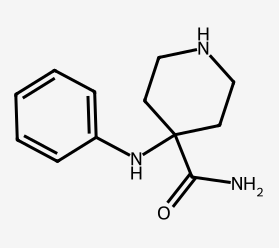 NC(=O)C1(Nc2ccccc2)CCNCC1